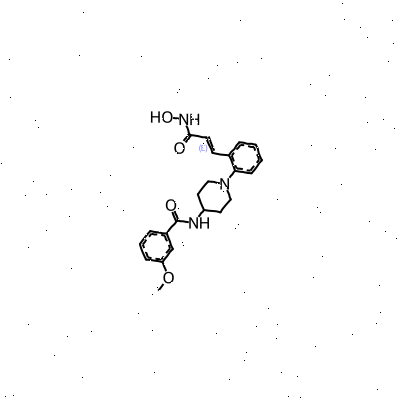 COc1cccc(C(=O)NC2CCN(c3ccccc3/C=C/C(=O)NO)CC2)c1